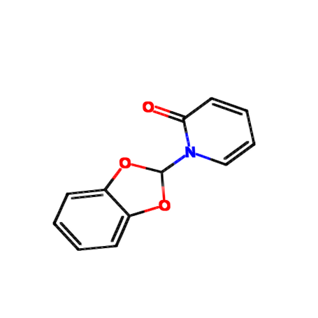 O=c1ccccn1C1Oc2ccccc2O1